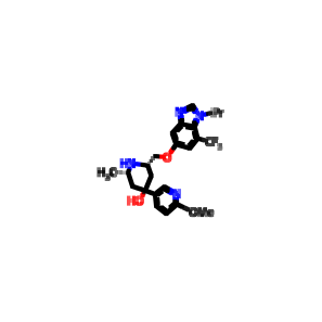 COc1ccc([C@@]2(O)C[C@@H](COc3cc(C(F)(F)F)c4c(c3)ncn4C(C)C)N[C@@H](C)C2)cn1